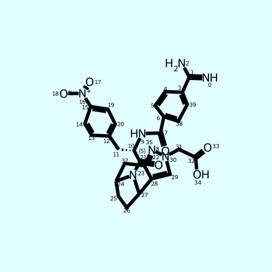 N=C(N)c1ccc(C(=O)N[C@@H](Cc2ccc([N+](=O)[O-])cc2)C(=O)N2C3CCC2c2cn(CC(=O)O)nc2C3)cc1